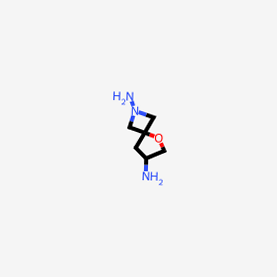 NC1COC2(C1)CN(N)C2